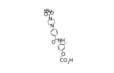 Cc1cc(OCC(=O)O)ccc1NC(=O)c1ccc(N2CCN(C(=O)OC(C)(C)C)CC2)cc1